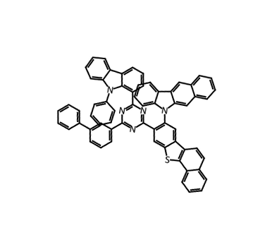 c1ccc(-c2cccc(-c3nc(-c4cc5sc6c7ccccc7ccc6c5cc4-n4c5ccccc5c5cc6ccccc6cc54)nc(-c4cccc5c6ccccc6n(-c6ccccc6)c45)n3)c2)cc1